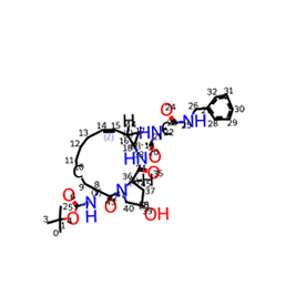 CC(C)(C)OC(=O)N[C@H]1CCCCC/C=C\[C@@H]2C[C@@]2(C(=O)NCC(=O)NCc2ccccc2)NC(=O)[C@@H]2C[C@@H](O)CN2C1=O